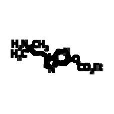 CCOC(=O)Oc1cc2ncn(CCC(C)(C)N)c2cn1